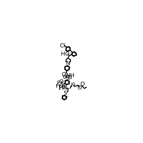 CCC(=O)OCCN(C)CC[C@H](CSc1ccccc1)Nc1ccc(S(=O)(=O)NC(=O)c2ccc(N3CCC([C@@H](O)c4ccccc4-c4ccc(Cl)cc4)CC3)cc2)cc1S(=O)(=O)C(F)(F)F